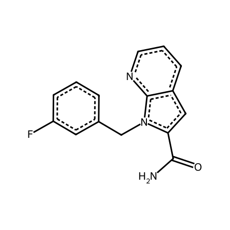 NC(=O)c1cc2cccnc2n1Cc1cccc(F)c1